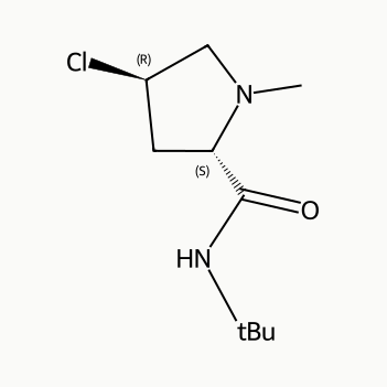 CN1C[C@H](Cl)C[C@H]1C(=O)NC(C)(C)C